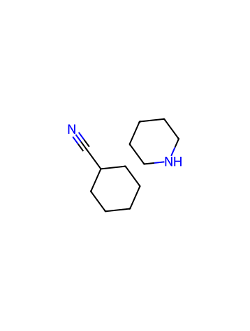 C1CCNCC1.N#CC1CCCCC1